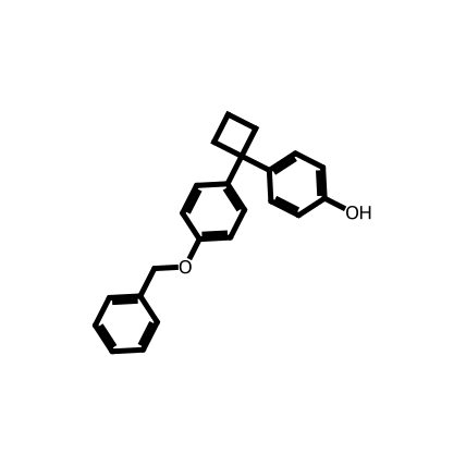 Oc1ccc(C2(c3ccc(OCc4ccccc4)cc3)CCC2)cc1